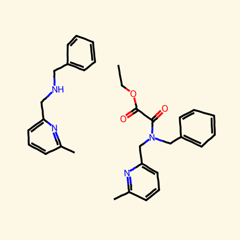 CCOC(=O)C(=O)N(Cc1ccccc1)Cc1cccc(C)n1.Cc1cccc(CNCc2ccccc2)n1